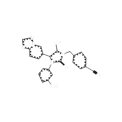 Cc1cccc(-n2c(-c3ccc4ncnn4c3)c(C)n(Cc3ccc(C#N)cc3)c2=O)c1